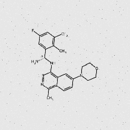 Cc1c([C@@H](N)Nc2nnc(C)c3ccc(N4CCOCC4)cc23)cc(F)cc1C(F)(F)F